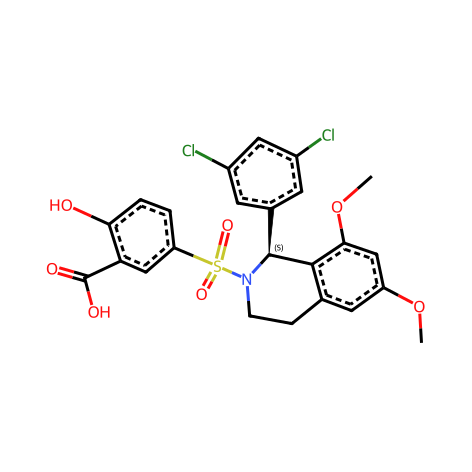 COc1cc2c(c(OC)c1)[C@H](c1cc(Cl)cc(Cl)c1)N(S(=O)(=O)c1ccc(O)c(C(=O)O)c1)CC2